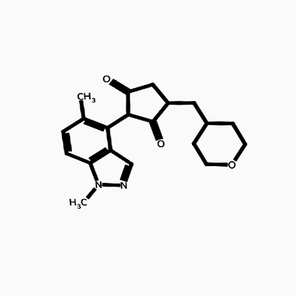 Cc1ccc2c(cnn2C)c1C1C(=O)CC(CC2CCOCC2)C1=O